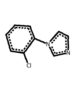 Clc1cc[c]cc1-n1ccnc1